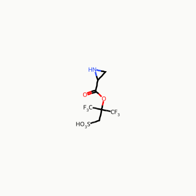 O=C(OC(CS(=O)(=O)O)(C(F)(F)F)C(F)(F)F)C1CN1